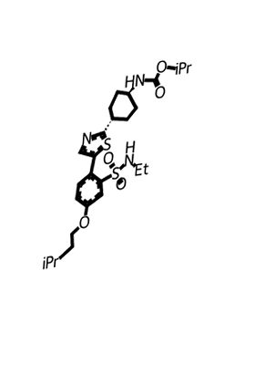 CCNS(=O)(=O)c1cc(OCCC(C)C)ccc1-c1cnc([C@H]2CC[C@H](NC(=O)OC(C)C)CC2)s1